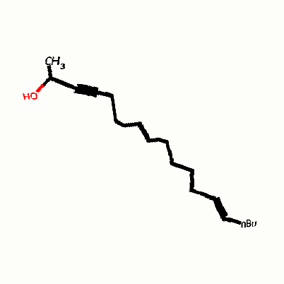 CCCCC=CCCCCCCCCC#CC(C)O